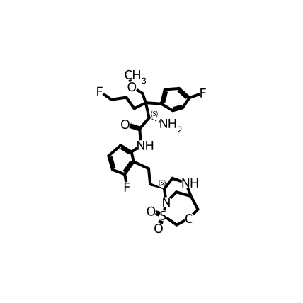 COCC(CCCF)(c1ccc(F)cc1)[C@H](N)C(=O)Nc1cccc(F)c1CC[C@H]1CNC2CCCS(=O)(=O)N1C2